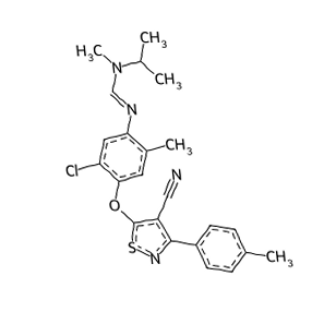 Cc1ccc(-c2nsc(Oc3cc(C)c(N=CN(C)C(C)C)cc3Cl)c2C#N)cc1